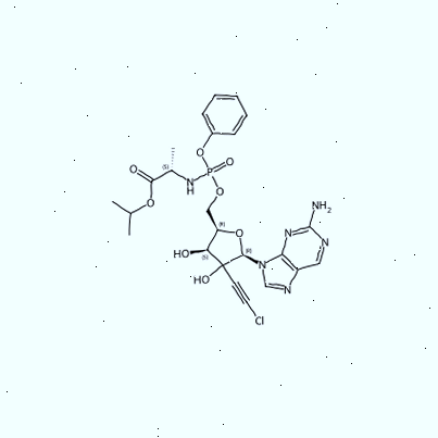 CC(C)OC(=O)[C@H](C)NP(=O)(OC[C@H]1O[C@@H](n2cnc3cnc(N)nc32)C(O)(C#CCl)[C@H]1O)Oc1ccccc1